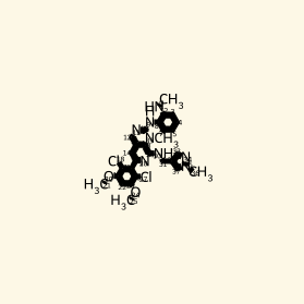 CNc1cccc(C)c1Nc1ncc2cc(-c3c(Cl)c(OC)cc(OC)c3Cl)nc(NCc3cnn(C)c3)c2n1